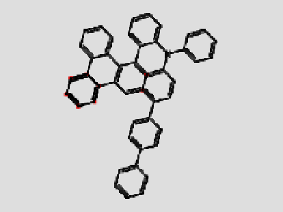 c1ccc(-c2ccc(-c3ccc(N(c4ccccc4)c4ccccc4-c4cccc(-c5ccccc5)c4-c4ccccc4-c4ccccc4)cc3)cc2)cc1